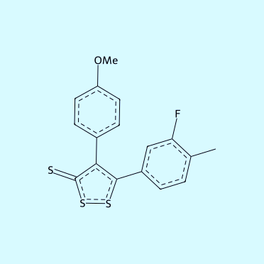 COc1ccc(-c2c(-c3ccc(C)c(F)c3)ssc2=S)cc1